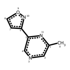 Cc1cncc(-c2ccon2)n1